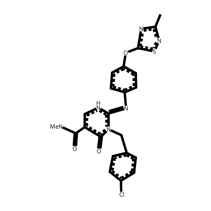 CNC(=O)c1c[nH]/c(=N\c2ccc(Oc3nc(C)ns3)cc2)n(Cc2ccc(Cl)cc2)c1=O